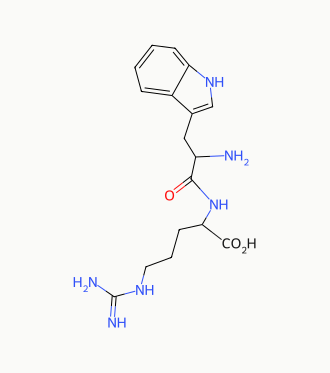 N=C(N)NCCCC(NC(=O)C(N)Cc1c[nH]c2ccccc12)C(=O)O